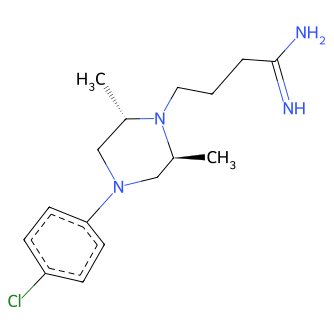 C[C@H]1CN(c2ccc(Cl)cc2)C[C@H](C)N1CCCC(=N)N